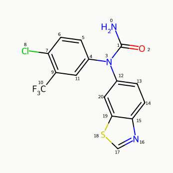 NC(=O)N(c1ccc(Cl)c(C(F)(F)F)c1)c1ccc2ncsc2c1